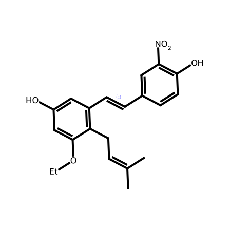 CCOc1cc(O)cc(/C=C/c2ccc(O)c([N+](=O)[O-])c2)c1CC=C(C)C